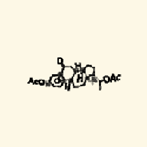 CC(=O)OC(C)[C@H]1CC[C@H]2[C@@H]3CC(=O)[C@]45C[C@@H](OC(C)=O)CC[C@]4(O5)[C@H]3CC[C@]12C